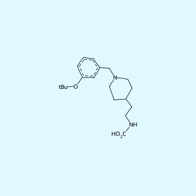 CC(C)(C)Oc1cccc(CN2CCC(CCNC(=O)O)CC2)c1